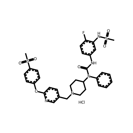 CS(=O)(=O)Nc1cc(NC(=O)N(c2ccccc2)C2CCN(Cc3ccc(Oc4ccc(S(C)(=O)=O)cc4)nc3)CC2)ccc1F.Cl